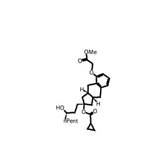 CCCCC[C@@H](O)CC[C@]1(OC(=O)C2CC2)C[C@H]2Cc3cccc(OCC(=O)OC)c3C[C@H]2C1